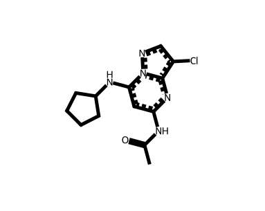 CC(=O)Nc1cc(NC2CCCC2)n2ncc(Cl)c2n1